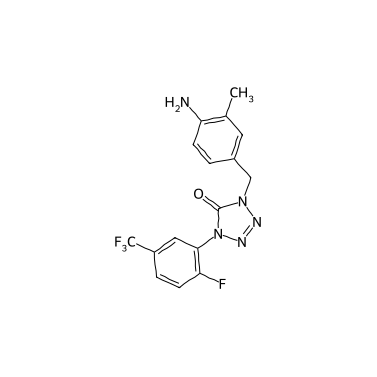 Cc1cc(Cn2nnn(-c3cc(C(F)(F)F)ccc3F)c2=O)ccc1N